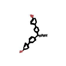 CCCCCC(c1ccc(-c2ccc(Br)cc2)cc1)c1ccc(-c2ccc(Br)cc2)cc1